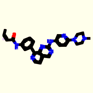 C/C=C\C(=O)Nc1cccc(-c2nccc3cnc(Nc4ccc(N5CCN(C)CC5)nc4)nc23)c1